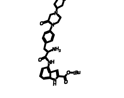 CC(C)(C)OC(=O)c1cc2c(NC(=O)C(N)Cc3ccc(N4CCN(C5CCOC5)CC4=O)cc3)cccc2[nH]1